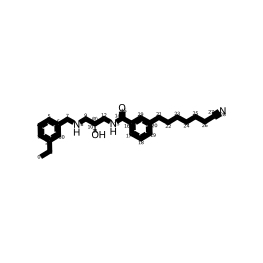 CCc1cccc(CNC[C@@H](O)CNC(=O)c2cccc(CCCCCCC#N)c2)c1